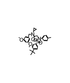 COc1cc(CN(C(=O)CN(c2ccc(C)cc2)S(=O)(=O)c2ccc(C(C)(C)C)cc2)C2CC2)cc(OC)c1